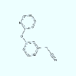 N#C[CH]c1cccc(Oc2ccccn2)c1